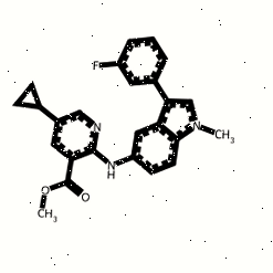 COC(=O)c1cc(C2CC2)cnc1Nc1ccc2c(c1)c(-c1cccc(F)c1)cn2C